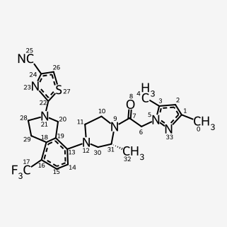 Cc1cc(C)n(CC(=O)N2CCN(c3ccc(C(F)(F)F)c4c3CN(c3nc(C#N)cs3)CC4)C[C@H]2C)n1